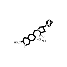 Cl.Cl.O=C(O)C1CC2CC(CN3CC(n4cnnn4)CC3C(=O)O)CCC2CN1